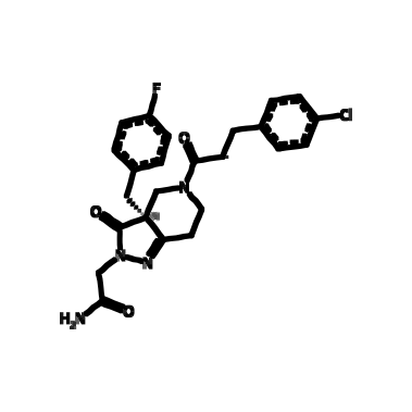 NC(=O)CN1N=C2CCN(C(=O)[CH]Cc3ccc(Cl)cc3)C[C@]2(Cc2ccc(F)cc2)C1=O